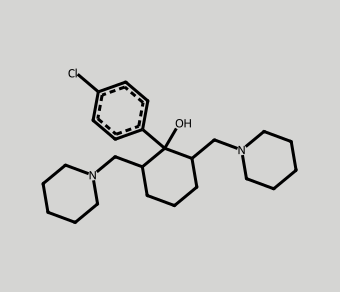 OC1(c2ccc(Cl)cc2)C(CN2CCCCC2)CCCC1CN1CCCCC1